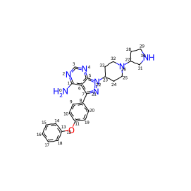 Nc1ncnc2c1c(-c1ccc(Oc3ccccc3)cc1)nn2C1CCN(C2CCNC2)CC1